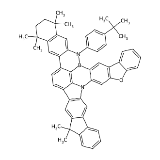 CC(C)(C)c1ccc(N2B3c4cc5c(cc4-n4c6cc7c(cc6c6ccc(c3c64)-c3cc4c(cc32)C(C)(C)CCC4(C)C)C(C)(C)c2ccccc2-7)oc2ccccc25)cc1